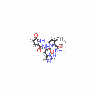 CC1CCN(C(=O)C(Cc2cnc[nH]2)NC(=O)C2CCC(=O)N2)C1C(N)=O